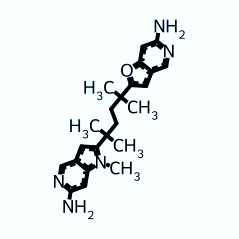 Cn1c(C(C)(C)CCC(C)(C)c2cc3cnc(N)cc3o2)cc2cnc(N)cc21